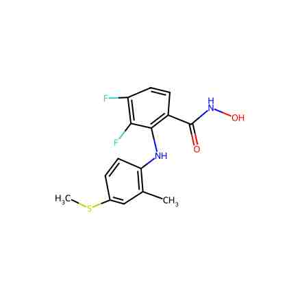 CSc1ccc(Nc2c(C(=O)NO)ccc(F)c2F)c(C)c1